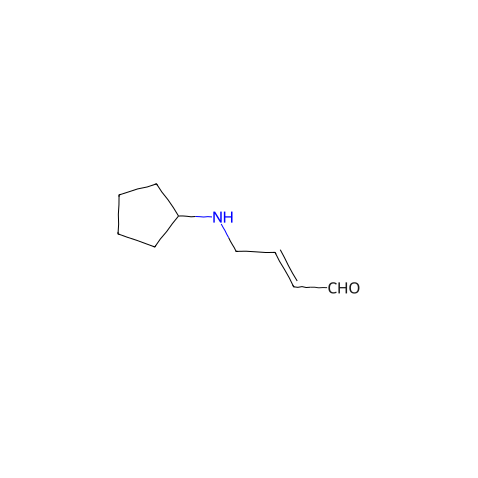 O=CC=CCNC1CCCC1